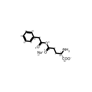 N[C@@H](CCC(=O)OC(=O)Cc1ccccc1)C(=O)[O-].[Na+]